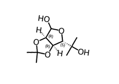 CC1(C)O[C@H]2[C@@H](O1)C(O)O[C@@H]2C(C)(C)O